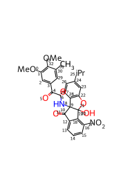 COc1cc(C(=O)C(=O)NC23C(=O)c4cccc([N+](=O)[O-])c4C2(O)Oc2cc(C(C)C)ccc23)cc(C)c1OC